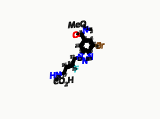 CON(C)C(=O)c1cc(Br)c2nnn(C/C(F)=C/CNC(=O)O)c2c1